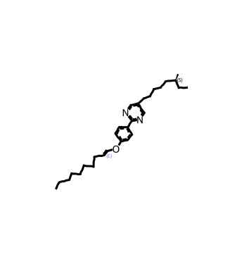 CCCCCCCC/C=C/Oc1ccc(-c2ncc(CCCCC[C@@H](C)CC)cn2)cc1